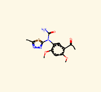 COc1cc(OC)c(N(C(N)=O)c2nnc(C)s2)cc1C(C)=O